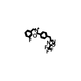 CN(Cc1cccc(F)c1)C(=O)c1ccc(Cc2noc(C(F)(F)F)n2)cc1